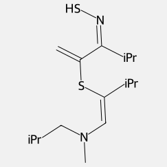 C=C(S/C(=C\N(C)CC(C)C)C(C)C)/C(=N\S)C(C)C